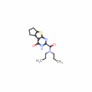 CCCN(CCC)C(=O)c1nc2sc3c(c2c(=O)[nH]1)CCC3